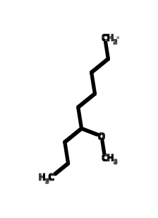 [CH2]CCCCC(CCC)OC